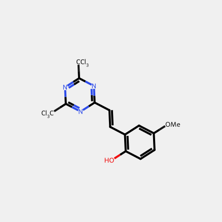 COc1ccc(O)c(C=Cc2nc(C(Cl)(Cl)Cl)nc(C(Cl)(Cl)Cl)n2)c1